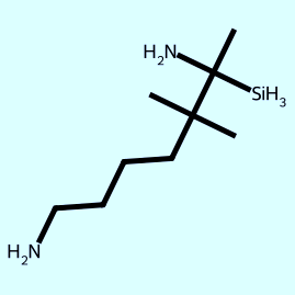 CC(N)([SiH3])C(C)(C)CCCCN